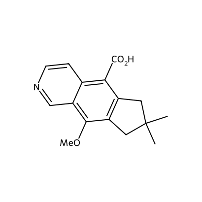 COc1c2c(c(C(=O)O)c3ccncc13)CC(C)(C)C2